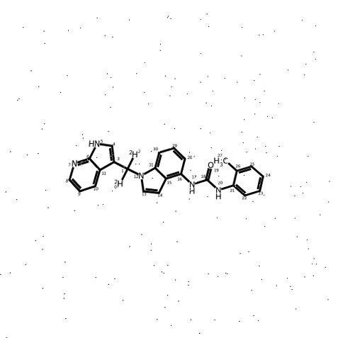 [2H]C([2H])(c1c[nH]c2ncccc12)n1ccc2c(NC(=O)Nc3ccccc3C)cccc21